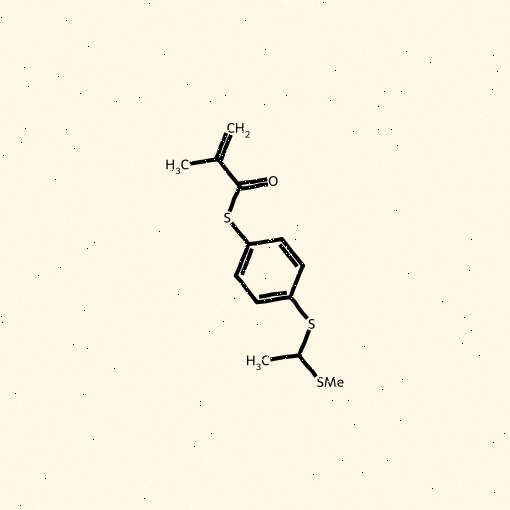 C=C(C)C(=O)Sc1ccc(SC(C)SC)cc1